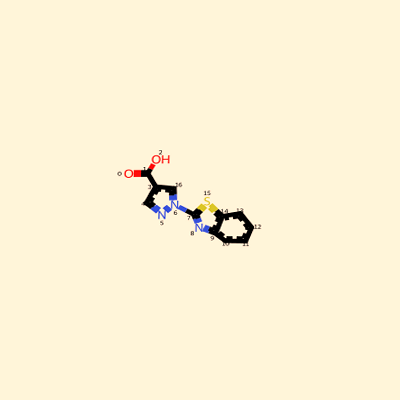 O=C(O)c1cnn(-c2nc3ccccc3s2)c1